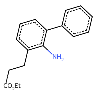 CCOC(=O)CCc1cccc(-c2ccccc2)c1N